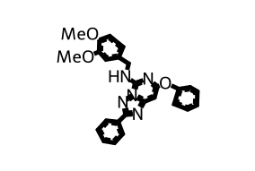 COc1ccc(CNc2nc(Oc3ccccc3)cc3nc(-c4ccccc4)nn23)cc1OC